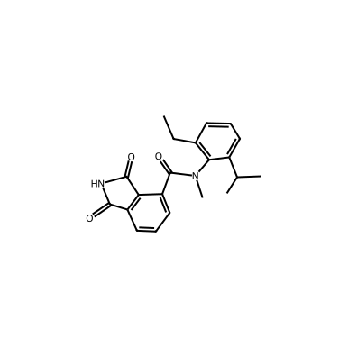 CCc1cccc(C(C)C)c1N(C)C(=O)c1cccc2c1C(=O)NC2=O